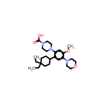 CCC1(CC)CCC(c2cc(N3CCOCC3)c(OC)cc2N2CCN(C(=O)O)CC2)CC1